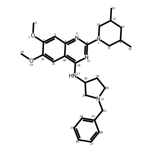 COc1cc2nc(N3CC(C)CC(C)C3)nc(NC3CCN(Cc4ccccc4)C3)c2cc1OC